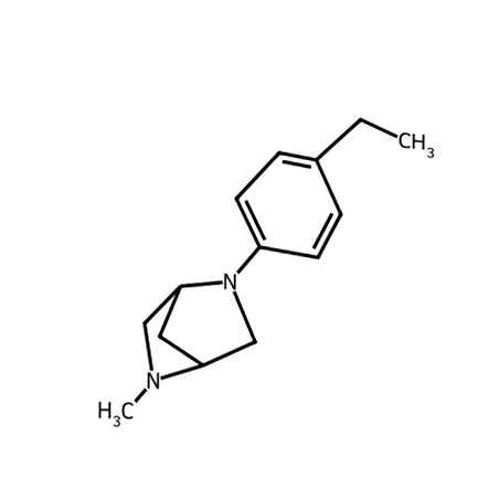 CCc1ccc(N2CC3CC2CN3C)cc1